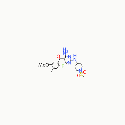 COc1cc(C(=O)c2cnc(NC3CCN(S(C)(=O)=O)CC3)nc2N)c(F)cc1C